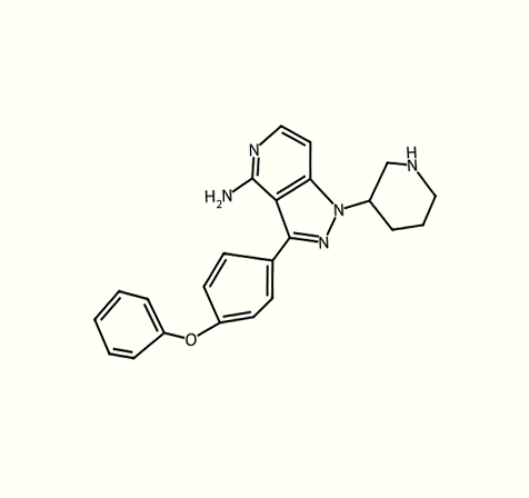 Nc1nccc2c1c(-c1ccc(Oc3ccccc3)cc1)nn2C1CCCNC1